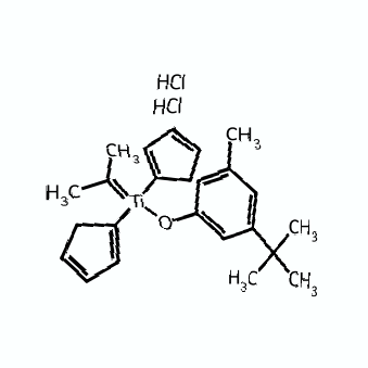 C[C](C)=[Ti]([O]c1cc(C)cc(C(C)(C)C)c1)([C]1=CC=CC1)[C]1=CC=CC1.Cl.Cl